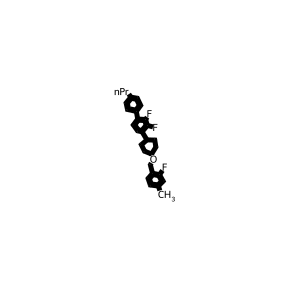 CCCc1ccc(-c2ccc(C3CCC(OCc4ccc(C)cc4F)CC3)c(F)c2F)cc1